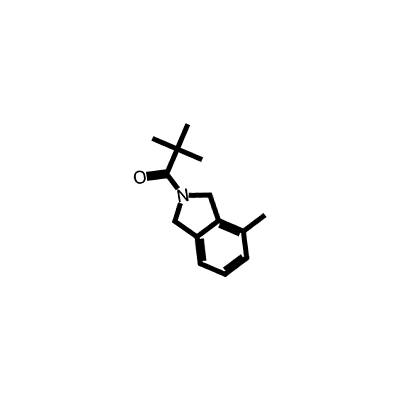 Cc1cccc2c1CN(C(=O)C(C)(C)C)C2